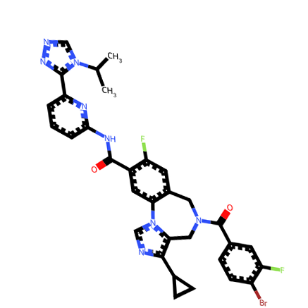 CC(C)n1cnnc1-c1cccc(NC(=O)c2cc3c(cc2F)CN(C(=O)c2ccc(Br)c(F)c2)Cc2c(C4CC4)ncn2-3)n1